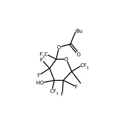 CCC(C)C(=O)OC1(C(F)(F)F)OC(C)(C(F)(F)F)C(F)(F)C(O)(C(F)(F)F)C1(F)F